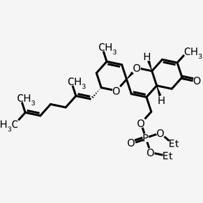 CCOP(=O)(OCC)OCC1=C[C@]2(C=C(C)C[C@@H](/C=C(\C)CCC=C(C)C)O2)O[C@@H]2C=C(C)C(=O)C[C@H]12